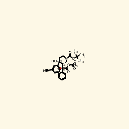 CC(=O)OC(=O)[C@@](O)(c1ccccc1)[C@H]1CN(C(=O)OC(C)(C)C)CC[C@]1(O)c1cccc(C#N)c1